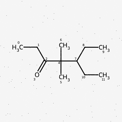 CCC(=O)C(C)(C)C(CC)CC